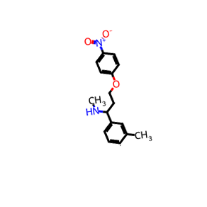 CNC(CCOc1ccc([N+](=O)[O-])cc1)c1cc[c]c(C)c1